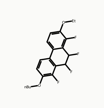 CCCCOc1ccc2c(c1F)C(F)C(F)c1c-2ccc(OCC)c1F